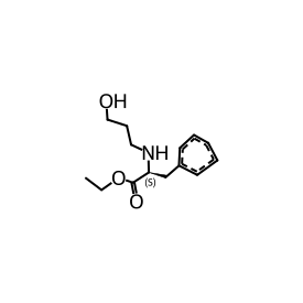 CCOC(=O)[C@H](Cc1ccccc1)NCCCO